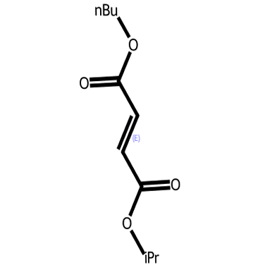 CCCCOC(=O)/C=C/C(=O)OC(C)C